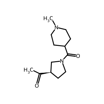 CC(=O)[C@@H]1CCN(C(=O)C2CCN(C)CC2)C1